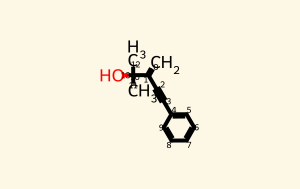 C=C(C#Cc1ccccc1)C(C)(C)O